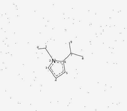 CCn1cccc1C(C)C